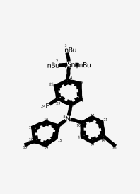 CCC[CH2][Sn]([CH2]CCC)([CH2]CCC)[c]1ccc(N(c2ccc(C)cc2)c2ccc(C)cc2)c(F)c1